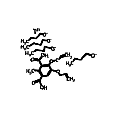 C=CCOc1cc(C(=O)O)c(C)c(C(=O)O)c1OCC=C.CCCC[O-].CCCC[O-].CCCC[O-].CCCC[O-].[Ti+4]